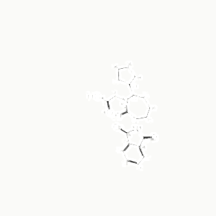 O=C(O)CN1C(=O)[C@@H](N2C(=O)c3ccccc3C2=O)CCC[C@@H]1C1CCCC1